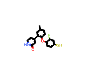 Cc1ccc(Oc2ccc(S)cc2F)c(-c2cc[nH]c(=O)c2)c1